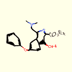 CCOC(=O)c1nc(CN(C)C)c2cc(Oc3ccccc3)ccc2c1O